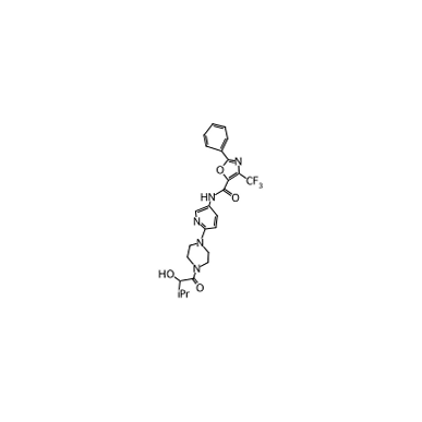 CC(C)C(O)C(=O)N1CCN(c2ccc(NC(=O)c3oc(-c4ccccc4)nc3C(F)(F)F)cn2)CC1